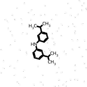 CC(C)c1cccc(Nc2cccc(C(C)C)c2)c1